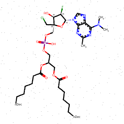 CCCCCCCCCCCCCCCC(=O)OCC(COP(=O)(O)OC[C@@]1(CCl)O[C@@H](n2cnc3c(N(C)C)nc(C)nc32)[C@H](F)[C@@H]1O)OC(=O)CCCCCCCCCCCCCCC